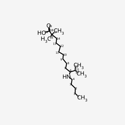 CCCCCNC(CCCCCCCCC(C)(C)C(=O)O)C(C)C